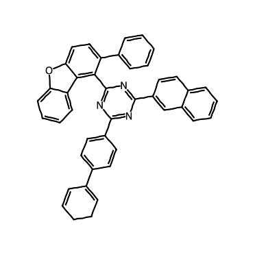 C1=CC(c2ccc(-c3nc(-c4ccc5ccccc5c4)nc(-c4c(-c5ccccc5)ccc5oc6ccccc6c45)n3)cc2)=CCC1